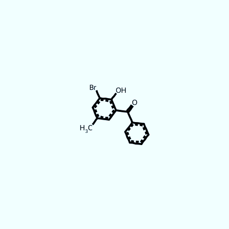 Cc1cc(Br)c(O)c(C(=O)c2ccccc2)c1